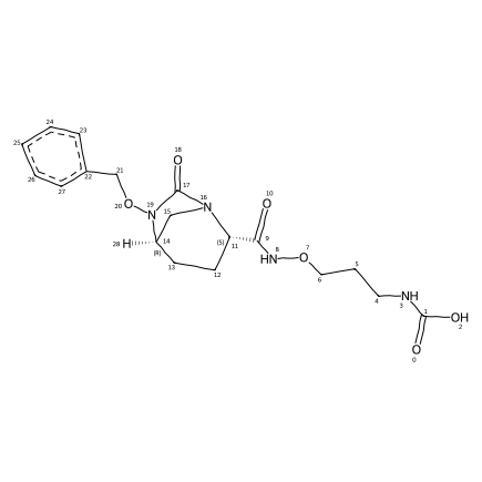 O=C(O)NCCCONC(=O)[C@@H]1CC[C@@H]2CN1C(=O)N2OCc1ccccc1